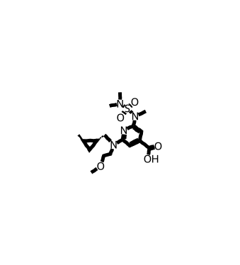 COCCN(C[C@@H]1C[C@H]1C)c1cc(C(=O)O)cc(N(C)S(=O)(=O)N(C)C)n1